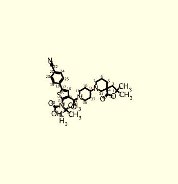 CC1(C)CC2(CCCN(C3CCN(C(=O)c4cc(-c5ccc(C#N)cc5)sc4N(C(=O)O)C(C)(C)C)CC3)C2)C(=O)O1